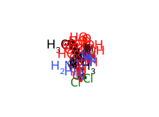 COc1cccc2c1C(=O)c1c(O)c3c(c(O)c1C2=O)C[C@@](O)(C(=O)CO)C[C@@H]3O[C@H]1C[C@H](N)[C@H](O)[C@H](C)O1.Nc1nc(F)nc2c1ncn2[C@@H]1O[C@H](COP(=O)(O)O)[C@@H](O)[C@@H]1O.O=P1(N(CCCl)CCCl)NCCCO1